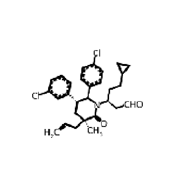 C=CC[C@@]1(C)C[C@H](c2cccc(Cl)c2)[C@@H](c2ccc(Cl)cc2)N([C@H](CC=O)CCC2CC2)C1=O